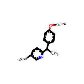 CCCCCCCCCc1ccc(C(C)c2ccc(OCCCCCC)cc2)nc1